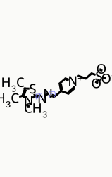 Cc1s/c(=N\N=C\c2cc[n+](CCCS(=O)(=O)[O-])cc2)n(C)c1C